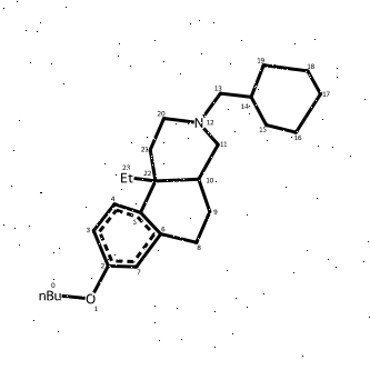 CCCCOc1ccc2c(c1)CCC1CN(CC3CCCCC3)CCC21CC